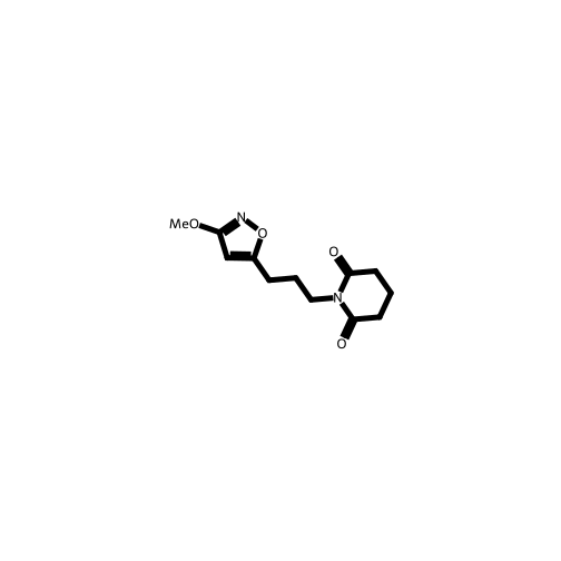 COc1cc(CCCN2C(=O)CCCC2=O)on1